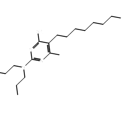 CCCCCCCCc1c(C)nc(N(CCC)CCC)nc1N